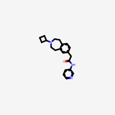 O=C(Cc1ccc2c(c1)CCN(C1CCC1)CC2)Nc1cccnc1